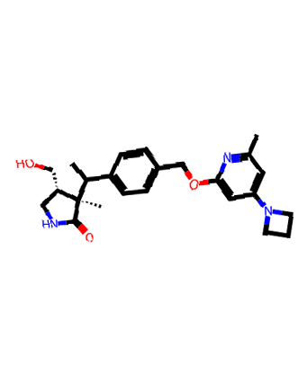 Cc1cc(N2CCC2)cc(OCc2ccc(C(C)[C@@]3(C)C(=O)NC[C@@H]3CO)cc2)n1